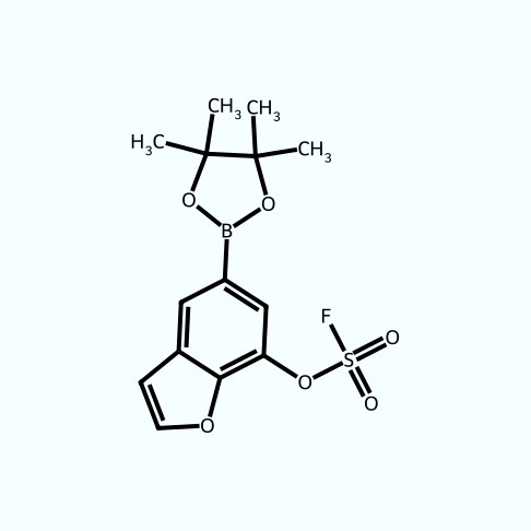 CC1(C)OB(c2cc(OS(=O)(=O)F)c3occc3c2)OC1(C)C